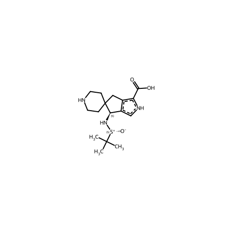 CC(C)(C)[S@@+]([O-])N[C@@H]1c2c[nH]c(C(=O)O)c2CC12CCNCC2